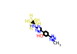 Cn1nnc(-c2ccc(-c3cnc(NC4(S)C(S)(S)C4(S)S)nn3)c(O)c2)n1